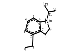 CCc1cccc2c1CCN2C(C)I